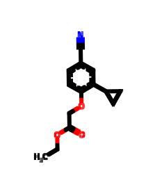 CCOC(=O)COc1ccc(C#N)cc1C1CC1